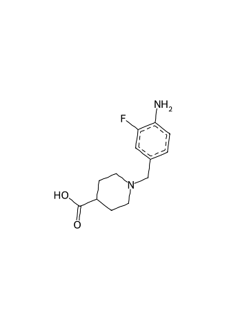 Nc1ccc(CN2CCC(C(=O)O)CC2)cc1F